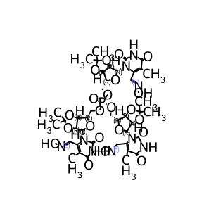 Cc1c(/C=N/O)n([C@@H]2O[C@H](COP(=O)(OC[C@H]3O[C@@H](n4c(/C=N/O)c(C)c(=O)[nH]c4=O)[C@@H]4OC(C)(C)O[C@@H]43)OC[C@H]3O[C@@H](n4c(/C=N/O)c(C)c(=O)[nH]c4=O)[C@@H]4OC(C)(C)O[C@@H]43)[C@H]3OC(C)(C)O[C@H]32)c(=O)[nH]c1=O